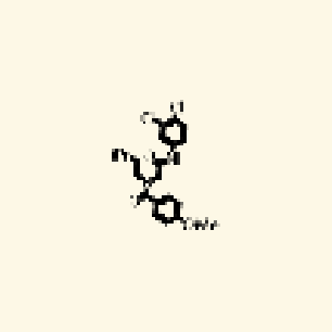 COc1ccc(C(=O)N(CCC(C)C)CC(=O)Nc2ccc(Cl)c(Cl)c2)cc1